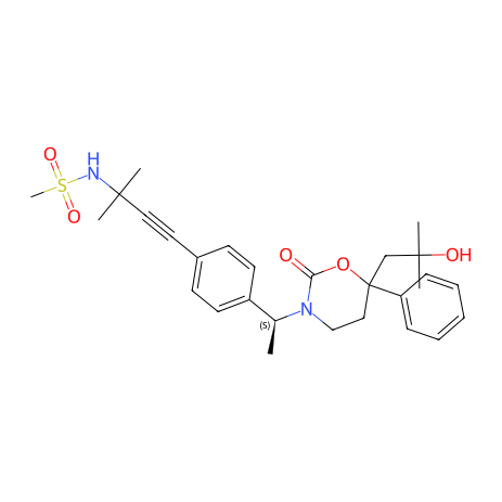 C[C@@H](c1ccc(C#CC(C)(C)NS(C)(=O)=O)cc1)N1CCC(CC(C)(C)O)(c2ccccc2)OC1=O